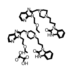 CCOCCn1c(CN2CCN(CCCn3c(=O)[nH]c4ccccc43)CC2)nc2cccnc21.CCOCCn1c(CN2CCN(CCCn3c(=O)[nH]c4ccccc43)CC2)nc2cccnc21.O=C(O)C(=O)O